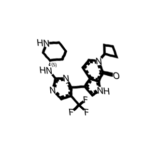 O=c1c2[nH]cc(-c3nc(N[C@H]4CCCNC4)ncc3C(F)(F)F)c2ccn1C1CCC1